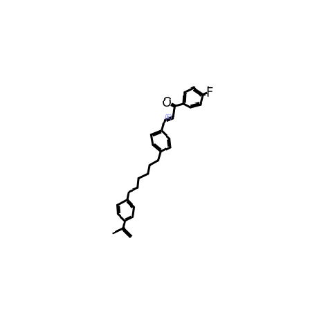 C=C(C)c1ccc(CCCCCCc2ccc(/C=C/C(=O)c3ccc(F)cc3)cc2)cc1